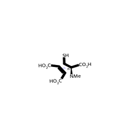 CN[C@@H](CS)C(=O)O.O=C(O)/C=C\C(=O)O